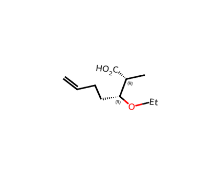 C=CCC[C@@H](OCC)[C@@H](C)C(=O)O